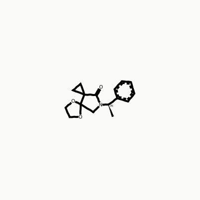 C[C@H](c1ccccc1)N1CC2(OCCO2)C2(CC2)C1=O